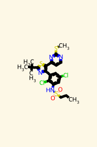 CCCS(=O)(=O)Nc1cc(Cl)cc(-c2nc(C(C)(C)C)sc2-c2ccnc(SC)n2)c1Cl